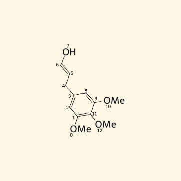 COc1cc(CC=CO)cc(OC)c1OC